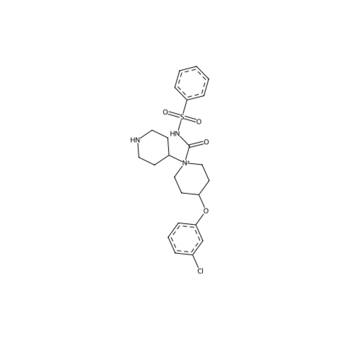 O=C(NS(=O)(=O)c1ccccc1)[N+]1(C2CCNCC2)CCC(Oc2cccc(Cl)c2)CC1